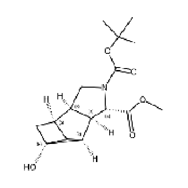 COC(=O)[C@@H]1[C@@H]2[C@H](CN1C(=O)OC(C)(C)C)[C@@H]1C[C@@]3(O)C1[C@@H]23